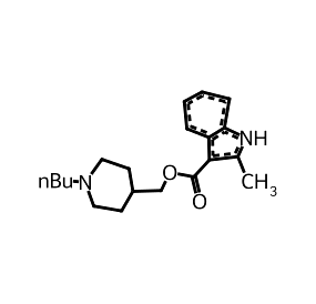 CCCCN1CCC(COC(=O)c2c(C)[nH]c3ccccc23)CC1